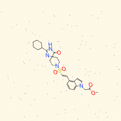 COC(=O)Cn1ccc2c(C=CS(=O)(=O)N3CCC4(CC3)N=C(C3CCCCC3)NC4=O)cccc21